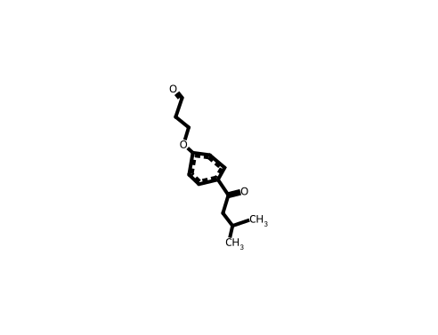 CC(C)CC(=O)c1ccc(OCCC=O)cc1